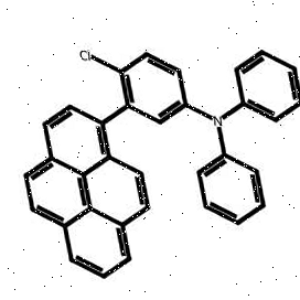 Clc1ccc(N(c2ccccc2)c2ccccc2)cc1-c1ccc2ccc3cccc4ccc1c2c34